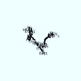 CCN(CC)CCCCC(NC(=O)C(NC(=O)CCCC#Cc1cnc(S(C)(=O)=O)nc1)C(C)C)C(=O)NCC(=O)NCOC/C=C/c1c2c(nc3cc(F)c(C)cc13)-c1cc3c(c(=O)n1C2)COC(=O)[C@]3(O)CC